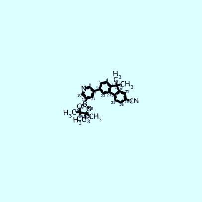 CC1(C)c2ccc(-c3cncc(B4OC(C)(C)C(C)(C)O4)c3)cc2-c2ccc(C#N)cc21